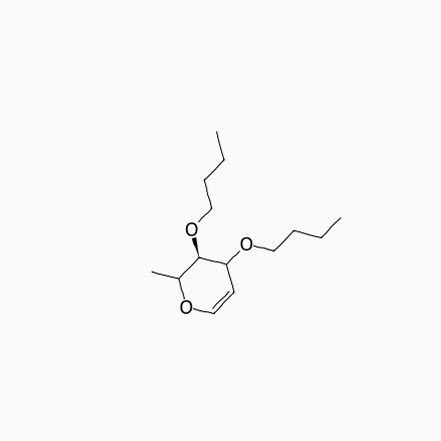 CCCCOC1C=COC(C)[C@H]1OCCCC